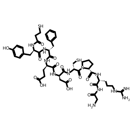 N=C(N)NCCC[C@@H](NC(=O)[C@H]1CCCN1C(=O)[C@@H](CS)NC(=O)[C@@H](CC(=O)O)NC(=O)[C@@H](CCC(=O)O)NC(=O)[C@@H](Cc1ccccc1)NC(=O)[C@@H](Cc1ccc(O)cc1)NC(=O)CCS)C(=O)NC(=O)CN